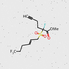 C#CCCC(F)(C(=O)OC)S(=O)(=O)CC=CCCC(F)(F)F